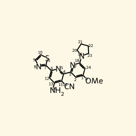 COc1cc(-c2nc(-c3nccs3)cc(N)c2C#N)nc(N2CCCC2)c1